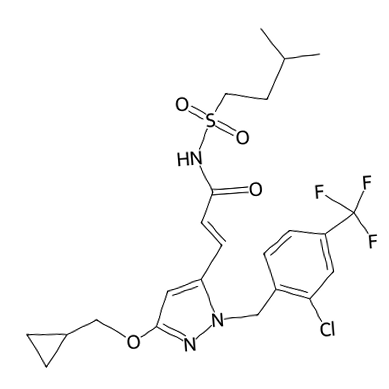 CC(C)CCS(=O)(=O)NC(=O)C=Cc1cc(OCC2CC2)nn1Cc1ccc(C(F)(F)F)cc1Cl